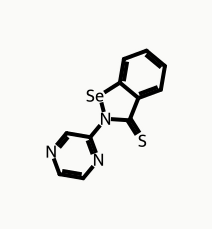 S=c1c2ccccc2[se]n1-c1cnccn1